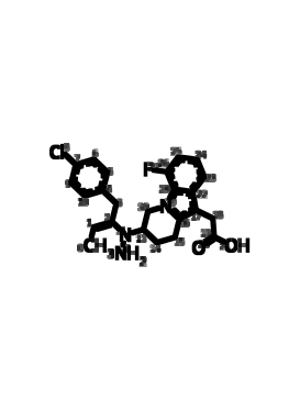 C/C=C(/Cc1ccc(Cl)cc1)N(N)C1CCc2c(CC(=O)O)c3cccc(F)c3n2C1